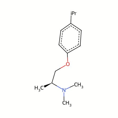 CC(C)c1ccc(OC[C@H](C)N(C)C)cc1